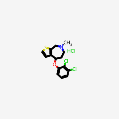 CN1CCC(Oc2cccc(Cl)c2Cl)c2ccsc2C1.Cl